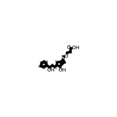 O=C(O)CCON=C1CC2C1CC(CCC(O)c1ccccc1)C2O